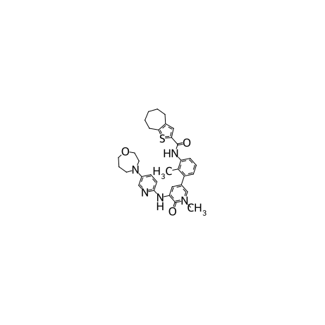 Cc1c(NC(=O)c2cc3c(s2)CCCCC3)cccc1-c1cc(Nc2ccc(N3CCCOCC3)cn2)c(=O)n(C)c1